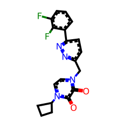 O=c1c(=O)n(C2CCC2)ccn1Cc1ccc(-c2cccc(F)c2F)nn1